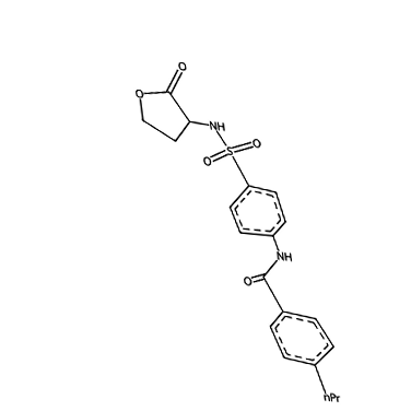 CCCc1ccc(C(=O)Nc2ccc(S(=O)(=O)NC3CCOC3=O)cc2)cc1